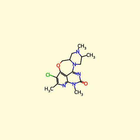 Cc1nc2c3c(nc(=O)n2C)N2CC(C)N(C)CC2COc3c1Cl